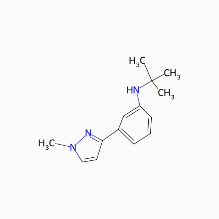 Cn1ccc(-c2cccc(NC(C)(C)C)c2)n1